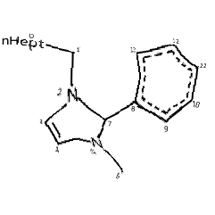 CCCCCCCCN1C=CN(C)C1c1ccccc1